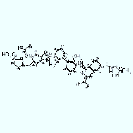 Cc1c(Nc2nc(C(F)F)nc3cc(CNCC(C)O)cnc23)cccc1-c1cccc(-c2nc3cc(CN4CCC(C(=O)O)C4)c(OC(F)F)cc3o2)c1C